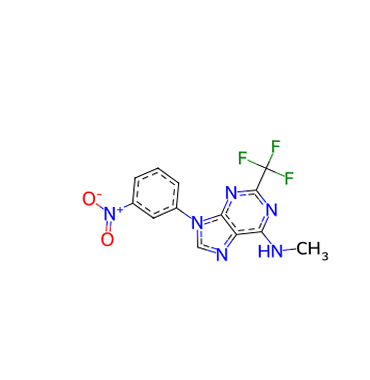 CNc1nc(C(F)(F)F)nc2c1ncn2-c1cccc([N+](=O)[O-])c1